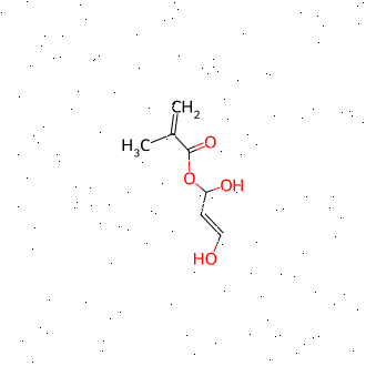 C=C(C)C(=O)OC(O)C=CO